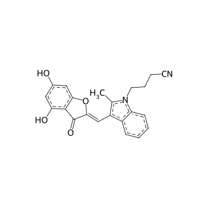 Cc1c(C=C2Oc3cc(O)cc(O)c3C2=O)c2ccccc2n1CCCC#N